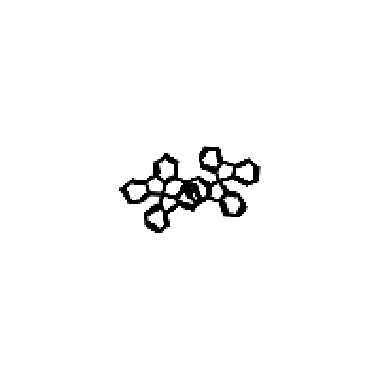 c1ccc2c(c1)-c1ccccc1C21c2ccccc2-c2ccc(-c3cccc4c3C3(c5ccccc5-c5ccccc53)c3ccccc3-4)cc21